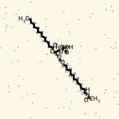 CCCCCCCCCCCCCC(=O)O[C@@H](COCOCCCCCCCCCCCCCNC(C)=O)COP(=O)(O)O